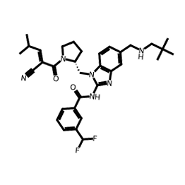 CC(C)/C=C(\C#N)C(=O)N1CCC[C@@H]1Cn1c(NC(=O)c2cccc(C(F)F)c2)nc2cc(CNCC(C)(C)C)ccc21